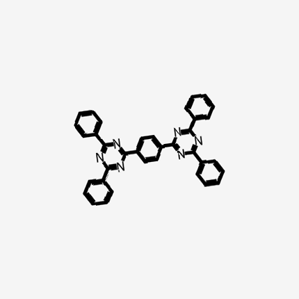 c1ccc(-c2nc(-c3ccccc3)nc(-c3ccc(-c4nc(-c5ccccc5)nc(-c5ccccc5)n4)cc3)n2)cc1